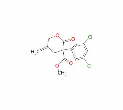 C=C1COC(=O)C(C(=O)OC)(c2cc(Cl)cc(Cl)c2)C1